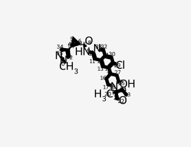 Cn1cc([C@H]2C[C@@H]2C(=O)Nc2cc3cc(C4CCN([C@@]5(C)COC[C@H]5O)CC4)c(Cl)cc3cn2)cn1